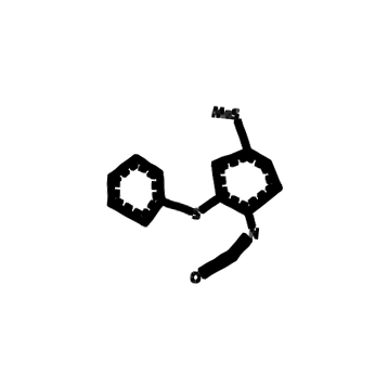 CSc1ccc(N=C=O)c(Sc2ccccc2)c1